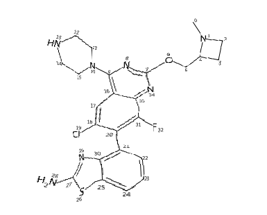 CN1CCC1COc1nc(N2CCNCC2)c2cc(Cl)c(-c3cccc4sc(N)nc34)c(F)c2n1